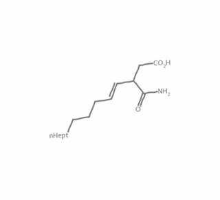 CCCCCCCCCCC=CC(CC(=O)O)C(N)=O